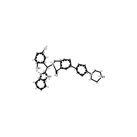 O=C1c2cc(-c3ccc(N4CCNCC4)cc3)ccc2CN1C(c1nc2ccccc2[nH]1)c1cc(Cl)ccc1O